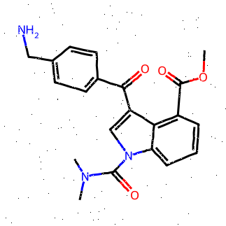 COC(=O)c1cccc2c1c(C(=O)c1ccc(CN)cc1)cn2C(=O)N(C)C